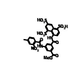 COC(=O)c1cc(NC(=O)c2ccc(C)cc2[N+](=O)[O-])cc(C(=O)Nc2ccc(S(=O)(=O)O)c3cc(S(=O)(=O)O)cc(S(=O)(=O)O)c23)c1